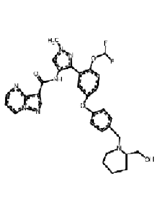 Cn1cc(NC(=O)c2cnn3cccnc23)c(-c2cc(Oc3ccc(CN4CCCC[C@@H]4CO)cc3)ccc2OC(F)F)n1